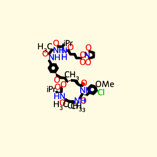 COc1ccc(C[C@H]2NC(=O)/C=C/C[C@@H]([C@H](C)[C@H]3O[C@@H]3c3ccc(CNC(=O)C(C)NC(=O)C(NC(=O)CCCC(=O)ON4C(=O)CCC4=O)C(C)C)cc3)OC(=O)[C@H](CC(C)C)NC(=O)C(C)(C)C(C)NC2=O)cc1Cl